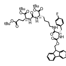 CC(C)(C)OC(=O)CC[C@H](NC(=O)N[C@@H](CCCCNC(=O)[C@H](Cc1ccc(F)cc1)NC(=O)OCC1c2ccccc2-c2ccccc21)C(=O)OC(C)(C)C)C(=O)OC(C)(C)C